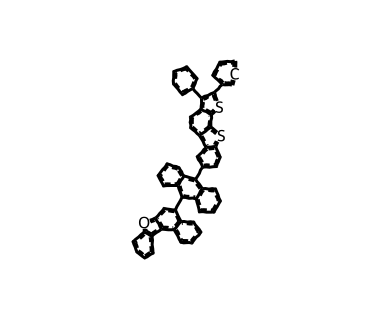 c1ccc(-c2sc3c(ccc4c5cc(-c6c7ccccc7c(-c7cc8oc9ccccc9c8c8ccccc78)c7ccccc67)ccc5sc43)c2-c2ccccc2)cc1